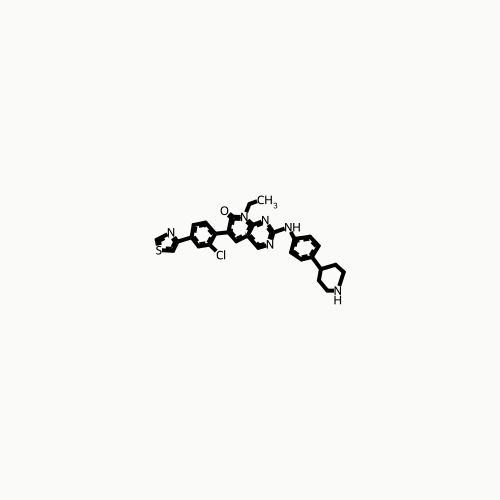 CCn1c(=O)c(-c2ccc(-c3cscn3)cc2Cl)cc2cnc(Nc3ccc(C4CCNCC4)cc3)nc21